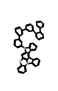 c1ccc(-c2ccccc2-c2cccc(-c3cccc(-c4cccc(-n5c6ccccc6c6c7c8ccccc8n8c7c(cc65)Sc5ccccc5-8)c4)c3)c2)cc1